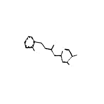 Oc1ccccc1CCC(O)CC1CC(O)C(O)CO1